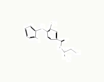 CC(C)C[C@H](NC(=O)c1ccc(Nc2ccccc2Cl)c(N)c1)C(=O)O